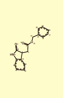 O=C(CC1C(=O)Nc2ccccc21)OCc1ccccc1